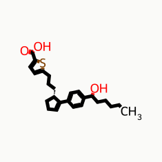 CCCCCC(O)c1ccc(C2=CCC[C@@H]2CCCc2ccc(C(=O)O)s2)cc1